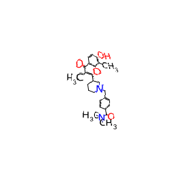 Cc1c(C2CCCN(Cc3ccc(C(=O)N(C)C)cc3)C2)oc2c(C)c(O)ccc2c1=O